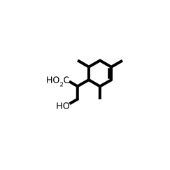 CC1=CC(C)C(C(CO)C(=O)O)C(C)C1